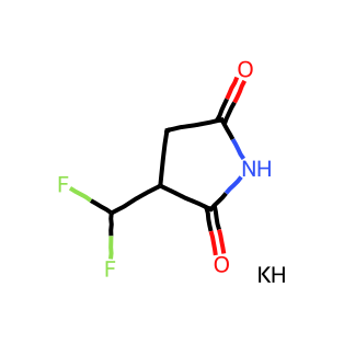 O=C1CC(C(F)F)C(=O)N1.[KH]